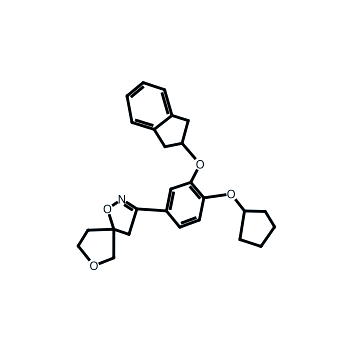 c1ccc2c(c1)CC(Oc1cc(C3=NOC4(CCOC4)C3)ccc1OC1CCCC1)C2